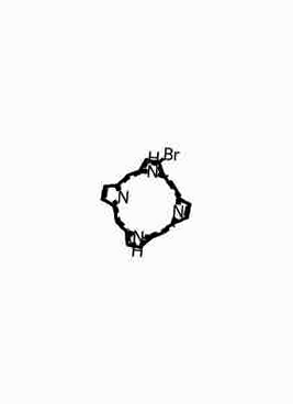 Brc1cc2cc3nc(cc4ccc(cc5nc(cc1[nH]2)C=C5)[nH]4)C=C3